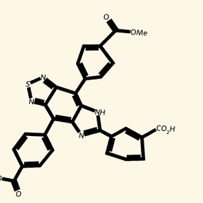 COC(=O)c1ccc(-c2c3nsnc3c(-c3ccc(C(=O)OC)cc3)c3[nH]c(-c4cccc(C(=O)O)c4)nc23)cc1